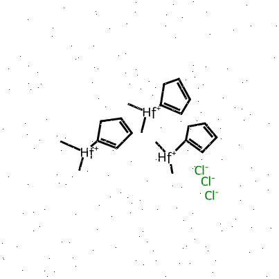 [CH3][Hf+]([CH3])[C]1=CC=CC1.[CH3][Hf+]([CH3])[C]1=CC=CC1.[CH3][Hf+]([CH3])[C]1=CC=CC1.[Cl-].[Cl-].[Cl-]